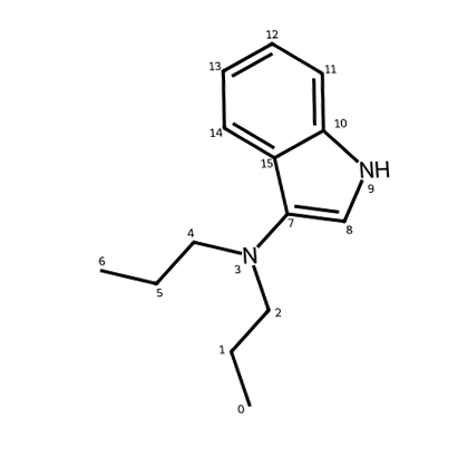 CCCN(CCC)c1c[nH]c2ccccc12